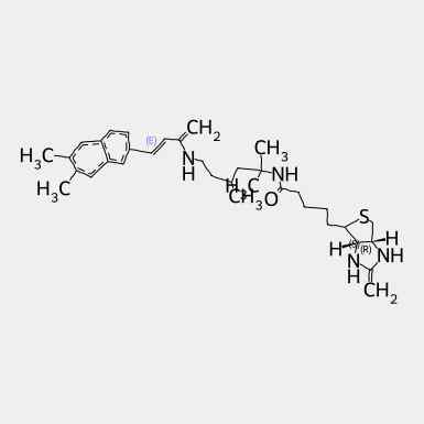 C=C(/C=C/c1ccc2cc(C)c(C)cc2c1)NCCC(C)CC(C)(C)NC(=O)CCCCC1SC[C@@H]2NC(=C)N[C@H]12